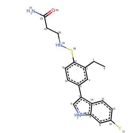 CCc1cc(-c2c[nH]c3cc(F)ccc23)ccc1SNCCC(N)=O